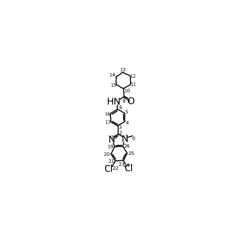 Cn1c(-c2ccc(NC(=O)C3CCCCC3)cc2)nc2cc(Cl)c(Cl)cc21